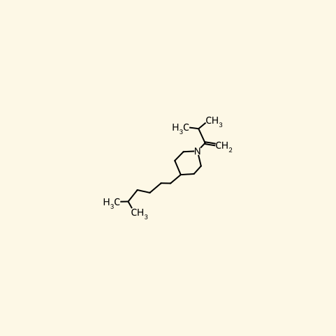 C=C(C(C)C)N1CCC(CCCCC(C)C)CC1